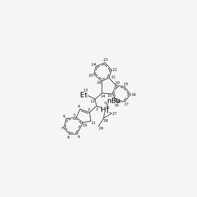 CCC[CH2][Hf]1([CH](C2=Cc3ccccc3C2)C(CC)C2c3ccccc3-c3ccccc32)[CH2][CH]1C